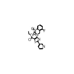 CCOC(=O)c1sc(-c2cccnc2)nc1NCc1c(F)cccc1[N+](=O)[O-]